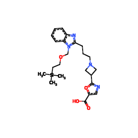 C[Si](C)(C)CCOCn1c(CCCN2CC(c3ncc(C(=O)O)o3)C2)nc2ccccc21